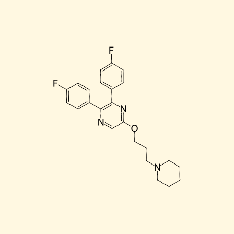 Fc1ccc(-c2ncc(OCCCN3CCCCC3)nc2-c2ccc(F)cc2)cc1